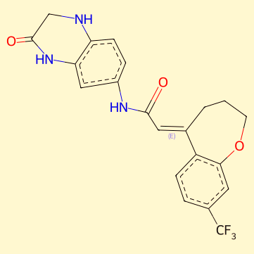 O=C(/C=C1\CCCOc2cc(C(F)(F)F)ccc21)Nc1ccc2c(c1)NC(=O)CN2